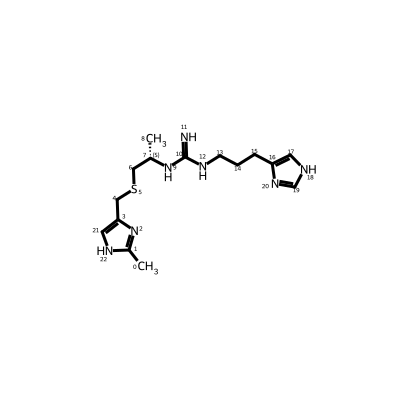 Cc1nc(CSC[C@H](C)NC(=N)NCCCc2c[nH]cn2)c[nH]1